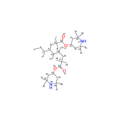 CCC(C)C(CC(C)(C)C(=O)OC1CC(C)(C)NC(C)(C)C1)C(C)C(C)CC(C)(C)C(=O)OC1CC(C)(C)NC(C)(C)C1